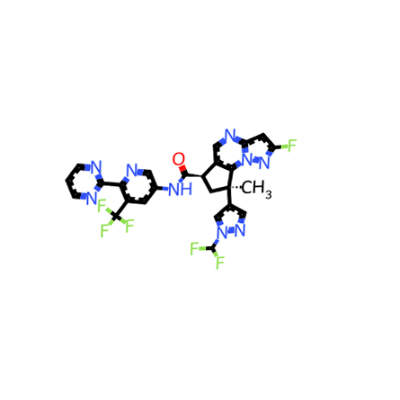 C[C@]1(c2cnn(C(F)F)c2)C[C@@H](C(=O)Nc2cnc(-c3ncccn3)c(C(F)(F)F)c2)c2cnc3cc(F)nn3c21